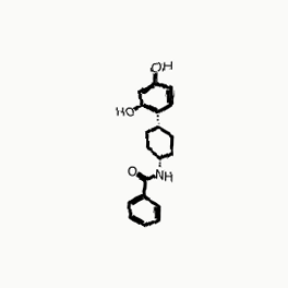 O=C(N[C@H]1CC[C@@H](c2ccc(O)cc2O)CC1)c1ccccc1